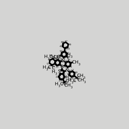 Cc1cc2c3c(c1)N(c1ccc(C(C)(C)C)cc1)c1c(sc4ccc(C(C)(C)C)cc14)B3c1cc3c(cc1N2c1c(C)cc(C2=CCCC=C2)cc1C)C(C)(C)CCC3(C)C